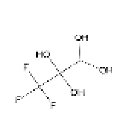 OC(O)C(O)(O)C(F)(F)F